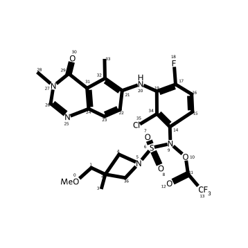 COCC1(C)CN(S(=O)(=O)N(OC(=O)C(F)(F)F)c2ccc(F)c(Nc3ccc4ncn(C)c(=O)c4c3C)c2Cl)C1